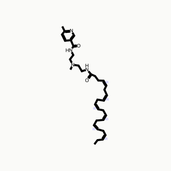 CC/C=C\C/C=C\C/C=C\C/C=C\C/C=C\C/C=C\CCC(=O)NCCN(C)CCNC(=O)c1ccc(C)nc1